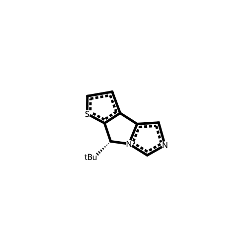 CC(C)(C)[C@@H]1c2sccc2-c2cncn21